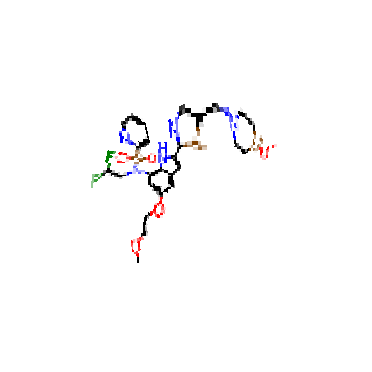 COCCOc1cc(N(CC(F)F)S(=O)(=O)c2ccccn2)c2[nH]c(C3=NCC(CN4CC[S+]([O-])CC4)S3)cc2c1